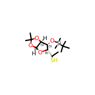 CC(S)[C@@H]1O[C@H]2OC(C)(C)O[C@H]2[C@@H]1O[Si](C)(C)C(C)(C)C